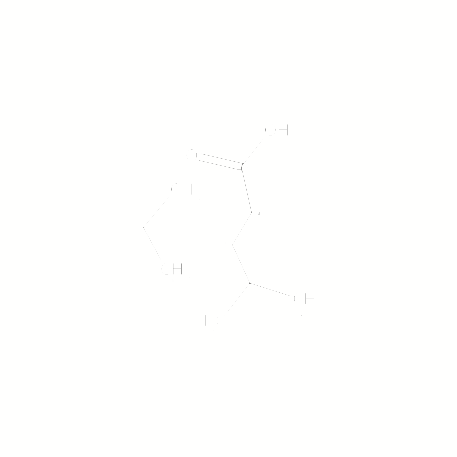 CC(C)CCC(=O)O.CCC